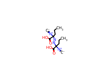 [C-]#[N+]C(CCC)(N=NC(CCC)([N+]#[C-])C(=O)O)C(=O)O